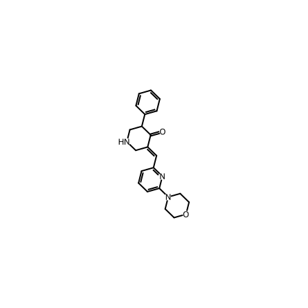 O=C1C(=Cc2cccc(N3CCOCC3)n2)CNCC1c1ccccc1